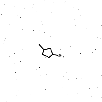 [CH2]C1CCC(N)C1